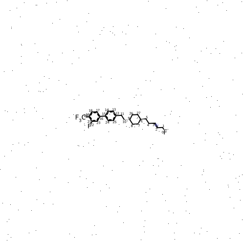 FC/C=C/CC[C@H]1CC[C@H](CCc2ccc(-c3ccc(C(F)(F)F)c(F)c3)cc2)CC1